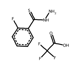 NNC(=S)c1ccccc1F.O=C(O)C(F)(F)F